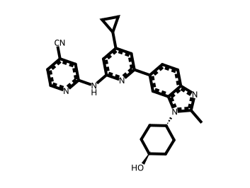 Cc1nc2ccc(-c3cc(C4CC4)cc(Nc4cc(C#N)ccn4)n3)cc2n1[C@H]1CC[C@H](O)CC1